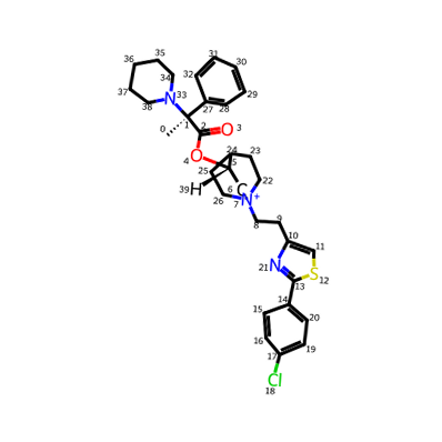 C[C@@](C(=O)O[C@H]1C[N+]2(CCc3csc(-c4ccc(Cl)cc4)n3)CCC1CC2)(c1ccccc1)N1CCCCC1